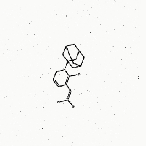 CC(C)C1=C(C=C(Br)Br)C=CCN1C12CC3CC(CC(C3)C1)C2